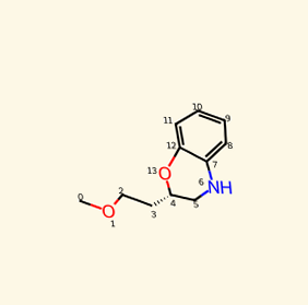 COCC[C@H]1CNc2ccccc2O1